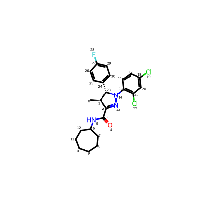 C[C@@H]1C(C(=O)NC2CCCCCC2)=NN(c2ccc(Cl)cc2Cl)[C@H]1c1ccc(F)cc1